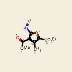 CCOC(=O)c1sc(N=S)c(C(=O)OC)c1C